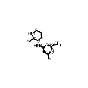 Cc1cc(N[C@H]2CCCNC2C)nc(C(F)(F)F)n1